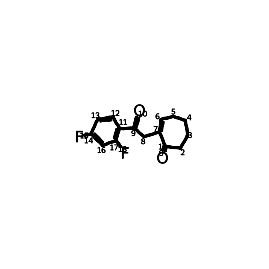 O=C1CCCCC=C1CC(=O)c1ccc(F)cc1F